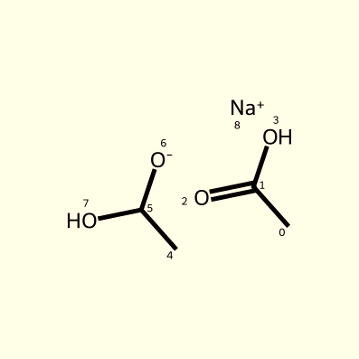 CC(=O)O.CC([O-])O.[Na+]